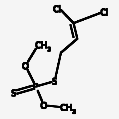 COP(=S)(OC)SCC=C(Cl)Cl